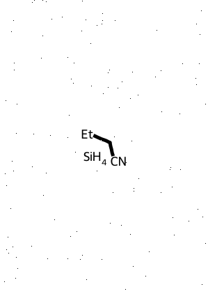 CCCC#N.[SiH4]